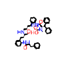 CN(C(=O)O)[C@H](C(=O)Nc1ccccc1CC[C@@H]1CN[C@H](CCc2ccccc2NC(=O)CCc2ccccc2)CO1)C(c1ccccc1)c1ccccc1